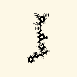 O=C(c1cc(-c2ccccc2)n[nH]1)N1CCOC2(CCN(Cc3cc(F)cc(CCNCC(O)c4ccc(O)c5[nH]c(=O)sc45)c3)CC2)C1